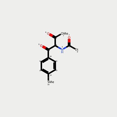 CCC(=O)NC(C(=O)OC)C(=O)c1ccc(SC)cc1